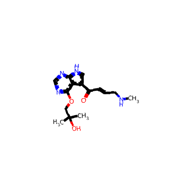 CNCC=CC(=O)c1c[nH]c2ncnc(OCC(C)(C)O)c12